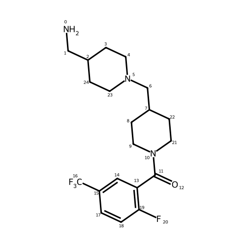 NCC1CCN(CC2CCN(C(=O)c3cc(C(F)(F)F)ccc3F)CC2)CC1